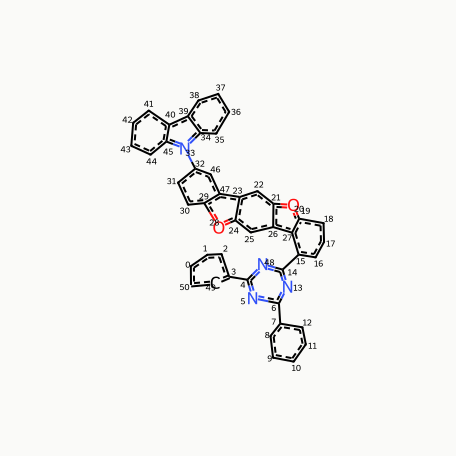 c1ccc(-c2nc(-c3ccccc3)nc(-c3cccc4oc5cc6c(cc5c34)oc3ccc(-n4c5ccccc5c5ccccc54)cc36)n2)cc1